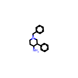 NC1CCN(Cc2ccccc2)CC1c1ccccc1